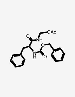 CC(=O)OCNC(=O)C(Cc1ccccc1)NC(=O)OCc1ccccc1